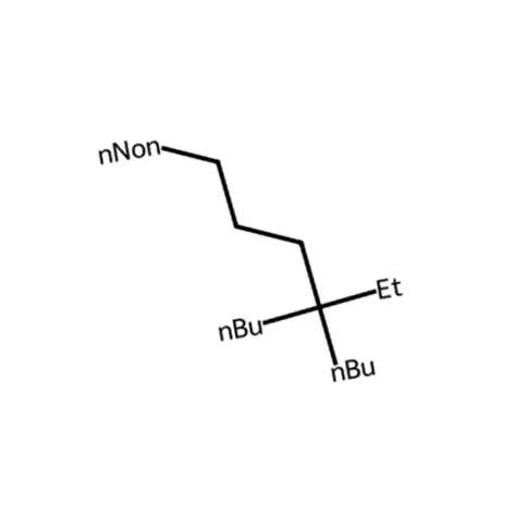 CCCCCCCCCCCCC(CC)(CCCC)CCCC